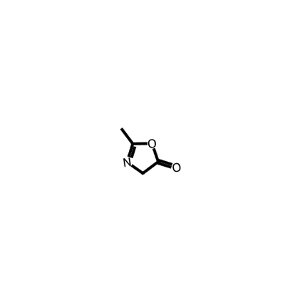 CC1=NCC(=O)O1